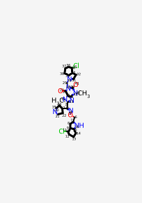 Cn1c(C(=NOCc2cc3c(Cl)cccc3[nH]2)c2ccncc2)nc2c1c(=O)n(Cn1ccc3c(Cl)cccc31)c(=O)n2C